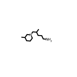 CC(CCCN)CN1CCCC(C)C1